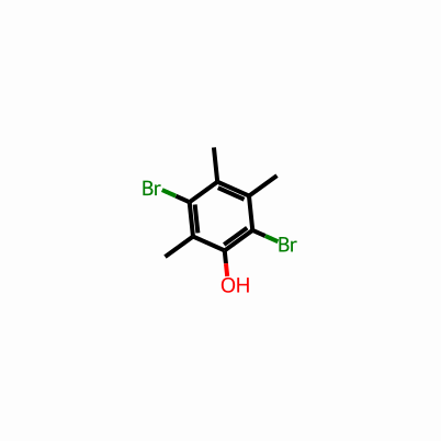 Cc1c(C)c(Br)c(O)c(C)c1Br